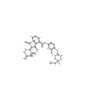 CCOC1(C)CCN(Cc2ccc(CNc3cccc4c3C(=O)N(C3CCC(=O)NC3=O)C4=O)cc2F)CC1